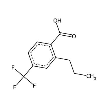 CCCc1cc(C(F)(F)F)ccc1C(=O)O